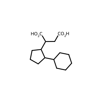 O=C(O)CC(C(=O)O)C1CCCC1C1CCCCC1